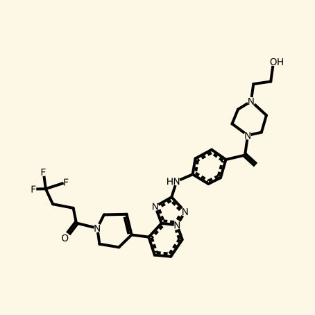 C=C(c1ccc(Nc2nc3c(C4=CCN(C(=O)CCC(F)(F)F)CC4)cccn3n2)cc1)N1CCN(CCO)CC1